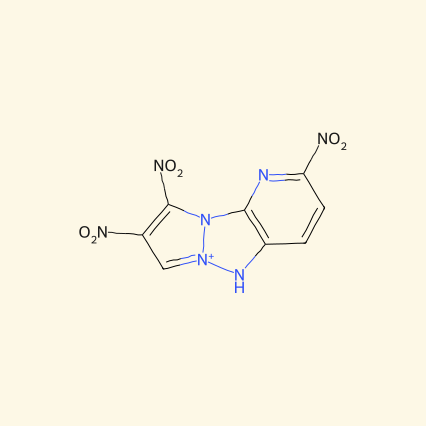 O=[N+]([O-])c1ccc2[nH][n+]3cc([N+](=O)[O-])c([N+](=O)[O-])n3c2n1